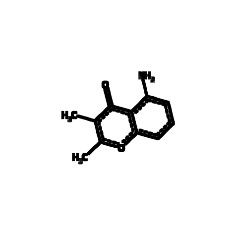 Cc1oc2cccc(N)c2c(=O)c1C